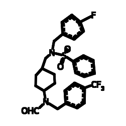 O=CN(Cc1ccc(C(F)(F)F)cc1)C1CCC(CN(Cc2ccc(F)cc2)S(=O)(=O)c2ccccc2)CC1